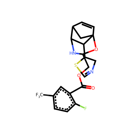 O=C(OCC1NC2C3C=CC(C3)(O1)C2C1CN=CS1)c1cc(C(F)(F)F)ccc1F